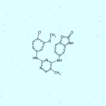 COc1cc(Nc2ncc(C)c(Nc3ccc4oc(=O)[nH]c4c3)n2)ccc1Cl